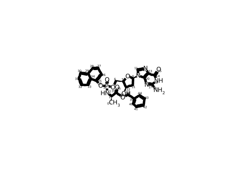 C[C@H](NP(=O)(OC[C@H]1O[C@@H](n2cnc3c(=O)[nH]c(N)nc32)C[C@H]1O)Oc1cccc2ccccc12)C(=O)OCc1ccccc1